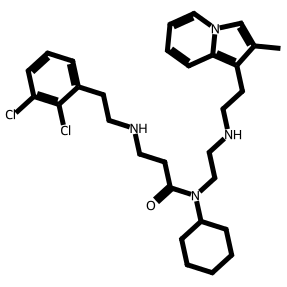 Cc1cn2ccccc2c1CCNCCN(C(=O)CCNCCc1cccc(Cl)c1Cl)C1CCCCC1